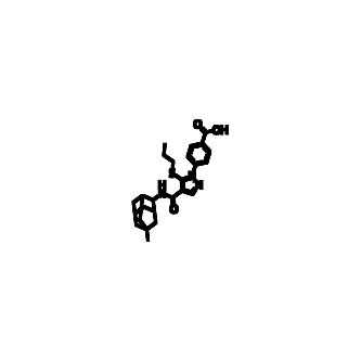 CCCSc1c(C(=O)NC2C3CC4CC2CC(C)(C4)C3)cnn1-c1ccc(C(=O)O)cc1